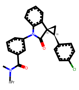 CCCN(C)C(=O)c1cccc(N2C(=O)[C@]3(C[C@H]3c3ccc(Cl)cc3)c3ccccc32)c1